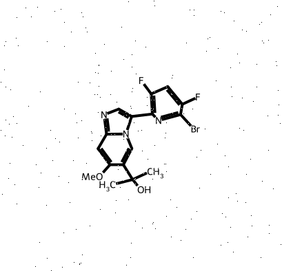 COc1cc2ncc(-c3nc(Br)c(F)cc3F)n2cc1C(C)(C)O